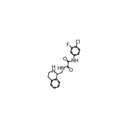 O=C(NCC1NCCc2ccccc21)C(=O)Nc1ccc(Cl)c(F)c1